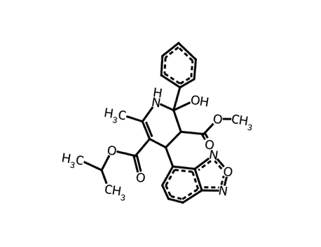 COC(=O)C1C(c2cccc3nonc23)C(C(=O)OC(C)C)=C(C)NC1(O)c1ccccc1